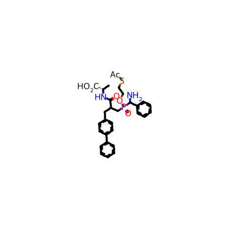 CC(=O)SCCOP(=O)(CC(Cc1ccc(-c2ccccc2)cc1)C(=O)N[C@@H](C)C(=O)O)C(N)c1ccccc1